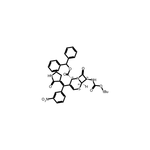 CC(C)(C)OC(=O)N[C@@H]1C(=O)N2[C@@H](C(=O)OC(c3ccccc3)c3ccccc3)C(C(=C3CCNC3=O)c3cccc([N+](=O)[O-])c3)=CS[C@H]12